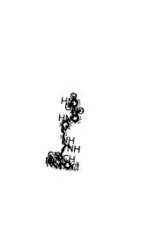 Cc1c(C#C/C(C=N)=C/NCCCN2CCC(Nc3cccc4c3CN(C3CCC(=O)NC3=O)C4=O)CC2)sc2c1C(c1ccc(Cl)cc1)=NCc1nnc(C)n1-2